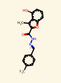 Cc1c(C(=O)N/N=C/c2ccc(C(F)(F)F)cc2)oc2cccc(O)c12